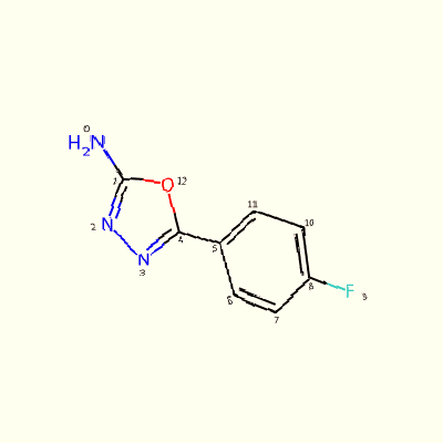 Nc1nnc(-c2ccc(F)cc2)o1